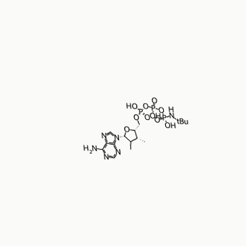 CC1[C@@H](C)[C@@H](COP(=O)(O)OP(=O)(O)OP(=O)(O)NC(C)(C)C)O[C@H]1n1cnc2c(N)ncnc21